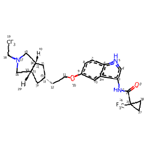 O=C(Nc1c[nH]c2ccc(OCC[C@@H]3C[C@@H]4CN(CC(F)(F)F)C[C@@H]4C3)cc12)C1(C(F)(F)F)CC1